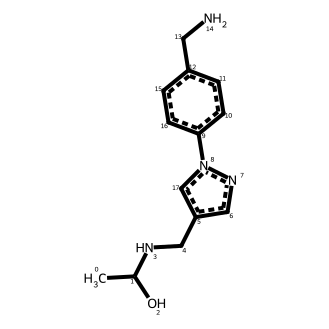 CC(O)NCc1cnn(-c2ccc(CN)cc2)c1